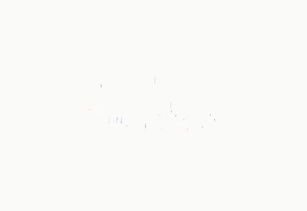 CC(C)(Cc1ccc(NC(=O)Cc2ccccn2)cc1)NCC(O)c1ccccc1.Cl